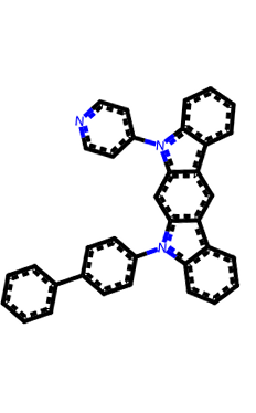 c1ccc(-c2ccc(-n3c4ccccc4c4cc5c6ccccc6n(-c6ccncc6)c5cc43)cc2)cc1